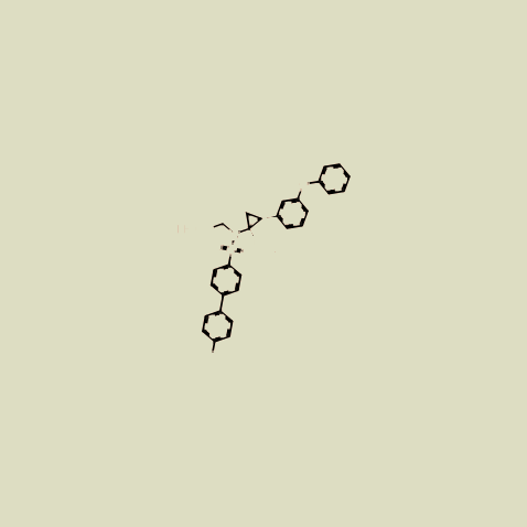 O=C(O)CN([C@]1(C(=O)O)C[C@H]1c1cccc(Oc2ccccc2)c1)S(=O)(=O)c1ccc(-c2ccc(Cl)cc2)cc1